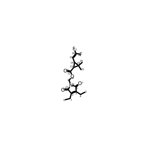 CCC1=C(CC)C(=O)N(COC(=O)C2C(C=C(F)F)C2(C)C)C1=O